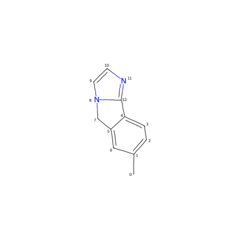 Cc1ccc2c(c1)Cn1ccnc1-2